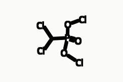 O=P(OCl)(OCl)C(Cl)Cl